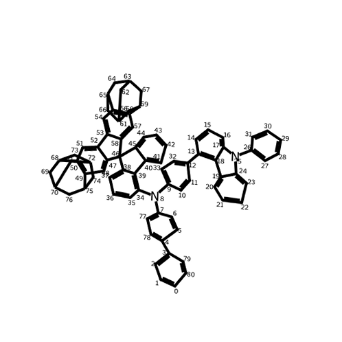 c1ccc(-c2ccc(N(c3ccc(-c4cccc5c4c4ccccc4n5-c4ccccc4)cc3)c3cccc4c3-c3ccccc3C43c4cc5c(cc4-c4cc6c(cc43)C3CC4CC(CC6C4)C3)C3CC4CC(C3)CC5C4)cc2)cc1